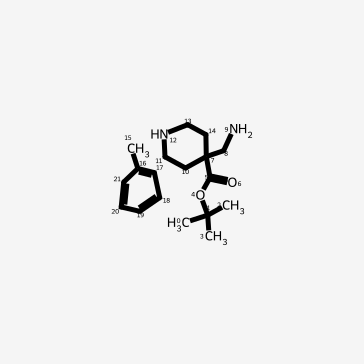 CC(C)(C)OC(=O)C1(CN)CCNCC1.Cc1ccccc1